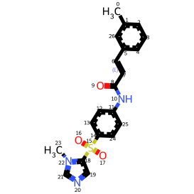 Cc1cccc(/C=C/C(=O)Nc2ccc(S(=O)(=O)c3cncn3C)cc2)c1